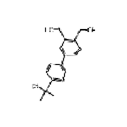 CCC(C)(C)c1ccc(-c2ccc(CO)c(CO)c2)cc1